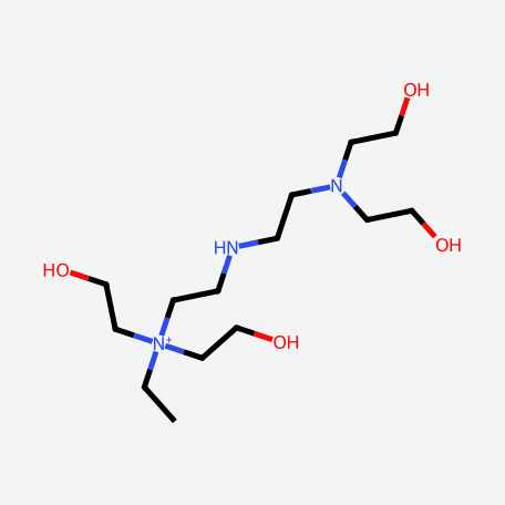 CC[N+](CCO)(CCO)CCNCCN(CCO)CCO